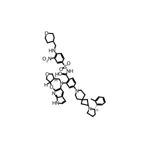 Cc1ccccc1[C@@H]1CCCN1C1CC2(CCN(c3ccc(C(=O)NS(=O)(=O)c4ccc(NCC5CCOCC5)c([N+](=O)[O-])c4)c(N4C[C@@H]5COC[C@H]5Oc5nc6[nH]ccc6cc54)c3)CC2)C1